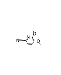 CCOc1ccc(C#N)nc1OC